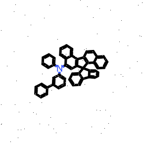 c1ccc(-c2cccc(N(c3ccccc3)c3cc4c(c5ccccc35)-c3ccc5ccccc5c3C43c4ccccc4-c4ccccc43)c2)cc1